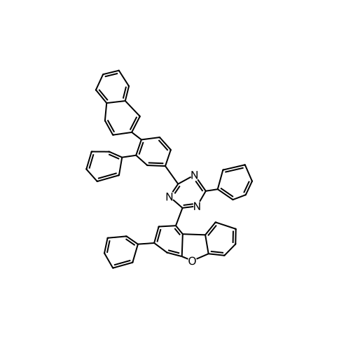 c1ccc(-c2cc(-c3nc(-c4ccccc4)nc(-c4ccc(-c5ccc6ccccc6c5)c(-c5ccccc5)c4)n3)c3c(c2)oc2ccccc23)cc1